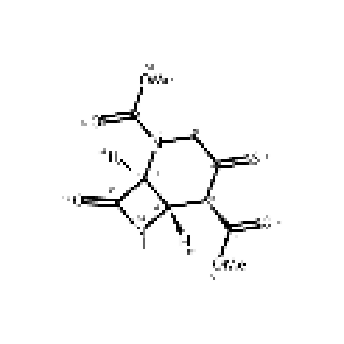 COC(=O)[C@@H]1C(=S)CN(C(=O)OC)[C@@H]2C(=O)N[C@@H]12